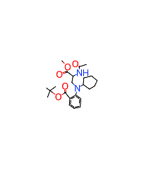 COC(=O)C(CN(c1ccccc1C(=O)OC(C)(C)C)C1CCCCC1)NC(C)=O